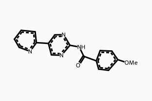 COc1ccc(C(=O)Nc2ncc(-c3ccccn3)cn2)cc1